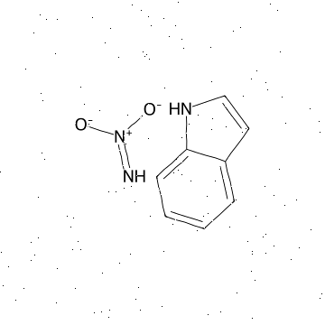 N=[N+]([O-])[O-].c1ccc2[nH]ccc2c1